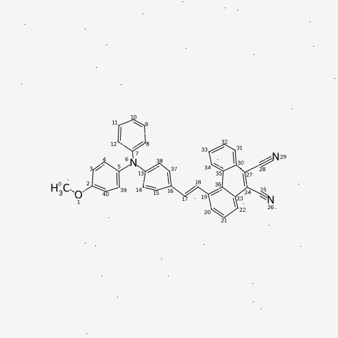 COc1ccc(N(c2ccccc2)c2ccc(C=Cc3cccc4c(C#N)c(C#N)c5ccccc5c34)cc2)cc1